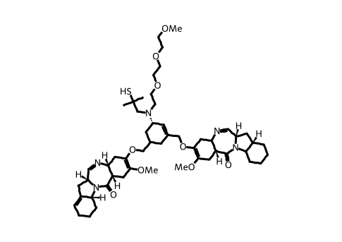 COCCOCCOCCN(CC(C)(C)S)[C@@H]1C=C(COC2=C(OC)C[C@H]3C(=O)N4C5CCCC[C@H]5C[C@H]4C=NC3C2)CC(COC2=C(OC)C[C@@H]3C(=O)N4[C@@H]5CCCC=C5C[C@@H]4C=N[C@@H]3C2)C1